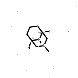 CN1C[C@H]2CCC[C@@H](C1)N2C